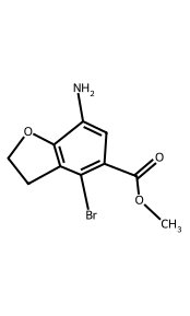 COC(=O)c1cc(N)c2c(c1Br)CCO2